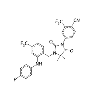 CC1(C)C(=O)N(c2ccc(C#N)c(C(F)(F)F)c2)C(=O)N1Cc1ccc(C(F)(F)F)cc1Nc1ccc(F)cc1